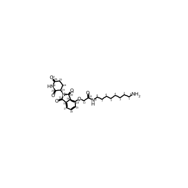 NCCCCCCCCNC(=O)COc1cccc2c1C(=O)N(C1CCC(=O)NC1=O)C2=O